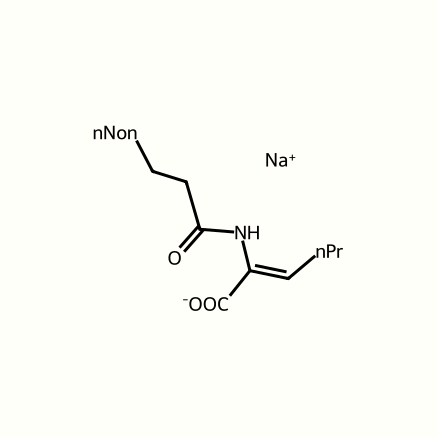 CCCC=C(NC(=O)CCCCCCCCCCC)C(=O)[O-].[Na+]